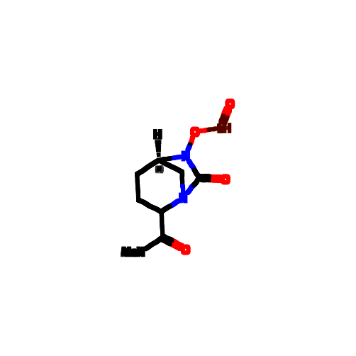 CNC(=O)C1CC[C@@H]2CN1C(=O)N2O[SH]=O